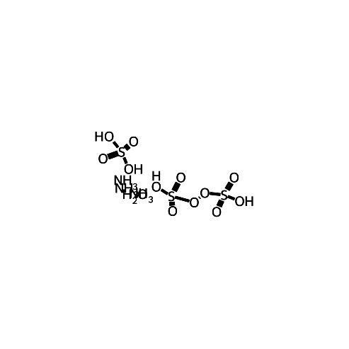 N.N.N.O.O=S(=O)(O)O.O=S(=O)(O)OOS(=O)(=O)O